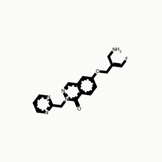 NC/C(=C\F)COc1ccc2c(=O)n(Cc3ncccn3)ncc2c1